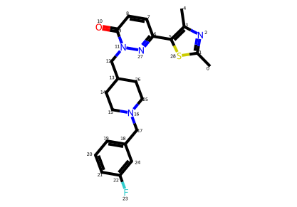 Cc1nc(C)c(-c2ccc(=O)n(CC3CCN(Cc4cccc(F)c4)CC3)n2)s1